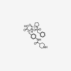 O=C(Nc1ccc(C[C@H](NC(=O)[C@@H]2CCCN2S(=O)(=O)Cc2ccccc2)C(=O)O)cc1)C1CCNCC1